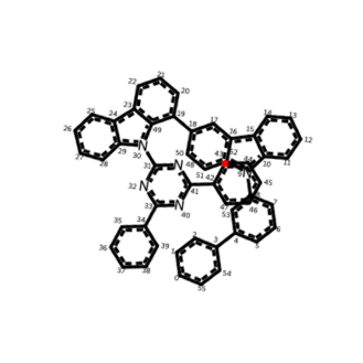 c1ccc(-c2cccc(-n3c4ccccc4c4cc(-c5cccc6c7ccccc7n(-c7nc(-c8ccccc8)nc(-c8ccccc8)n7)c56)ccc43)c2)cc1